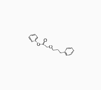 O=C(COCCCc1ccccc1)Oc1ccccc1